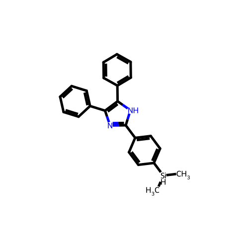 C[SiH](C)c1ccc(-c2nc(-c3ccccc3)c(-c3ccccc3)[nH]2)cc1